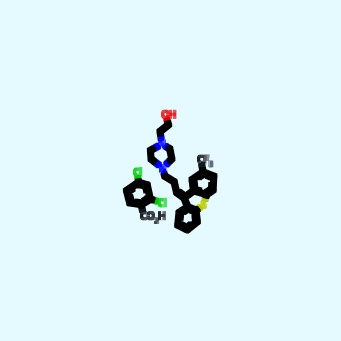 O=C(O)c1ccc(Cl)cc1Cl.OCCN1CCN(CCC=C2c3ccccc3Sc3ccc(C(F)(F)F)cc32)CC1